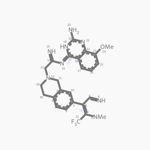 CN/C(=C(\C=N)c1ccc2c(c1)CN(CC(=N)/N=c1\[nH]c(N)nc3c(OC)cccc13)CC2)C(F)(F)F